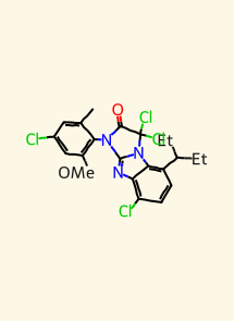 CCC(CC)c1ccc(Cl)c2nc3n(c12)C(Cl)(Cl)C(=O)N3c1c(C)cc(Cl)cc1OC